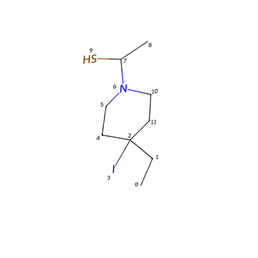 CCC1(I)CCN(C(C)S)CC1